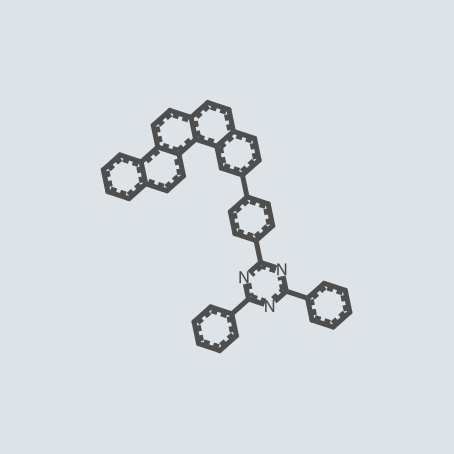 c1ccc(-c2nc(-c3ccccc3)nc(-c3ccc(-c4ccc5ccc6ccc7c8ccccc8ccc7c6c5c4)cc3)n2)cc1